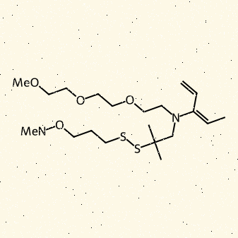 C=C/C(=C\C)N(CCOCCOCCOC)CC(C)(C)SSCCCONC